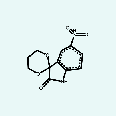 O=C1Nc2ccc([SH](=O)=O)cc2C12OCCCO2